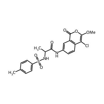 COc1oc(=O)c2cc(NC(=O)C(C)NS(=O)(=O)c3ccc(C)cc3)ccc2c1Cl